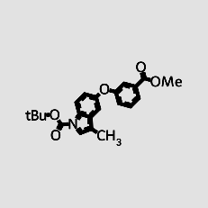 COC(=O)c1cccc(Oc2ccc3c(c2)c(C)cn3C(=O)OC(C)(C)C)c1